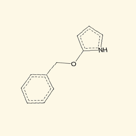 c1ccc(COc2ccc[nH]2)cc1